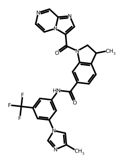 Cc1cn(-c2cc(NC(=O)c3ccc4c(c3)N(C(=O)c3cnc5cnccn35)CC4C)cc(C(F)(F)F)c2)cn1